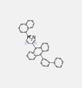 C=C(/C=C\C(=C/N)c1c2ccccc2c(-c2cccc(-c3ccccc3)c2)c2ccccc12)c1cccc2ccccc12